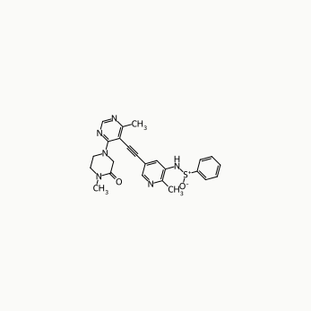 Cc1ncc(C#Cc2c(C)ncnc2N2CCN(C)C(=O)C2)cc1N[S+]([O-])c1ccccc1